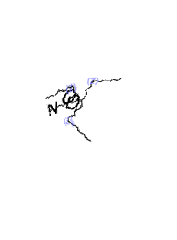 CCCCC/C=C\CCCC(CCC/C=C\CCCCCC)C(CC/C=C\CCCCC)OC(=O)CCCN(C)C